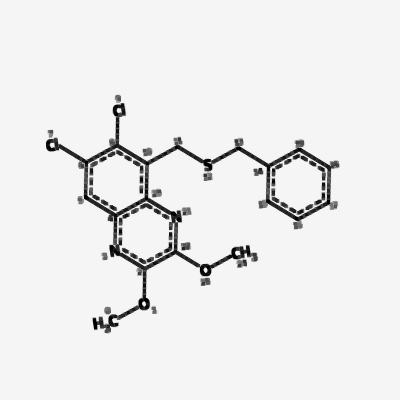 COc1nc2cc(Cl)c(Cl)c(CSCc3ccccc3)c2nc1OC